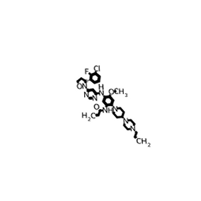 C=CCN1CCN(C2CCN(c3cc(OC)c(Nc4cc(N5OCC[C@@H]5c5cccc(Cl)c5F)ncn4)cc3NC(=O)C=C)CC2)CC1